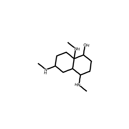 CNC1CCC2(NC)C(O)CCC(NC)C2C1